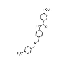 CCCCCCCCc1ccc(C(=O)Nc2ccc(C[N]Cc3ccc(C(F)(F)F)cc3)cc2)cc1